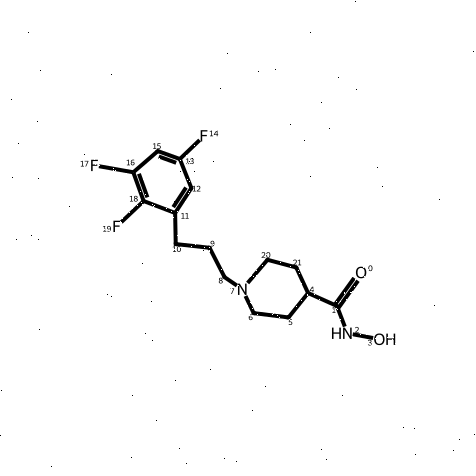 O=C(NO)C1CCN(CCCc2cc(F)cc(F)c2F)CC1